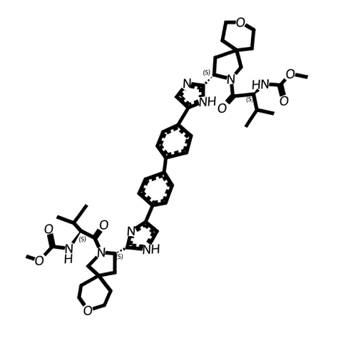 COC(=O)N[C@H](C(=O)N1CC2(CCOCC2)C[C@H]1c1nc(-c2ccc(-c3ccc(-c4cnc([C@@H]5CC6(CCOCC6)CN5C(=O)[C@@H](NC(=O)OC)C(C)C)[nH]4)cc3)cc2)c[nH]1)C(C)C